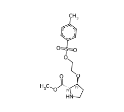 COC(=O)[C@H]1NCC[C@@H]1OCCOS(=O)(=O)c1ccc(C)cc1